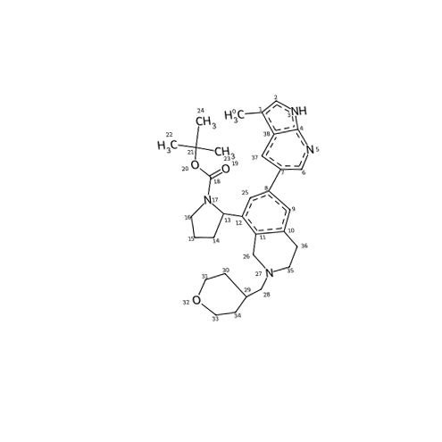 Cc1c[nH]c2ncc(-c3cc4c(c(C5CCCN5C(=O)OC(C)(C)C)c3)CN(CC3CCOCC3)CC4)cc12